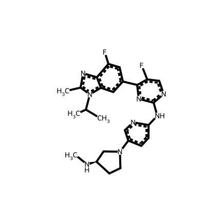 CN[C@@H]1CCN(c2ccc(Nc3ncc(F)c(-c4cc(F)c5nc(C)n(C(C)C)c5c4)n3)nc2)C1